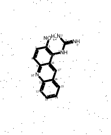 N=C(N)Nc1c(N=O)ccc2nc3ccccc3cc12